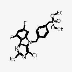 CCOP(=O)(Cc1ccc(Cn2c3cc(F)cc(F)c3c3nc(CC)nc(Cl)c32)cc1)OCC